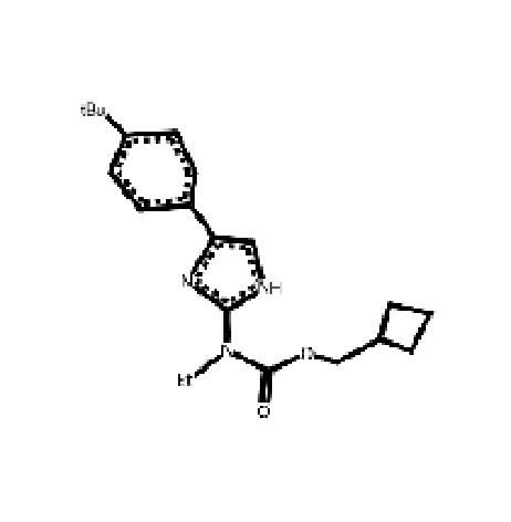 CCN(C(=O)OCC1CCC1)c1nc(-c2ccc(C(C)(C)C)cc2)c[nH]1